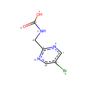 O=C(O)NCc1ncc(Br)cn1